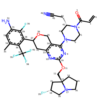 C=CC(=O)N1CCN(c2nc(OC[C@@]34CCCN3C[C@H](F)C4)nc3c2COC(c2c(F)c(N)cc(C)c2C(F)(F)F)C3)C[C@@H]1CC#N